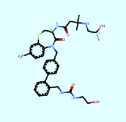 C[C@@H](O)CNC(C)(C)CC(=O)N[C@@H]1CSc2cc(C(F)(F)F)ccc2N(Cc2ccc(-c3ccccc3CNC(=O)NCCO)cc2)C1=O